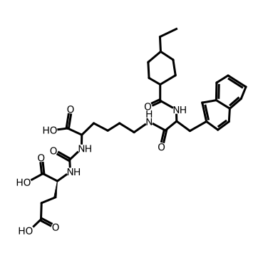 CCC1CCC(C(=O)NC(Cc2ccc3ccccc3c2)C(=O)NCCCCC(NC(=O)N[C@@H](CCC(=O)O)C(=O)O)C(=O)O)CC1